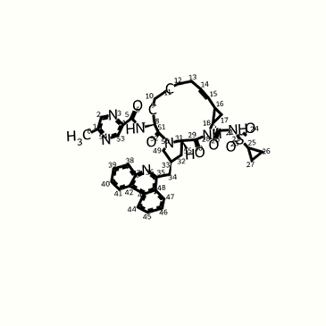 Cc1cnc(C(=O)N[C@H]2CCCCC/C=C\C3C[C@@]3(C(=O)NS(=O)(=O)C3CC3)NC(=O)[C@@H]3C[C@@H](Cc4nc5ccccc5c5ccccc45)CN3C2=O)cn1